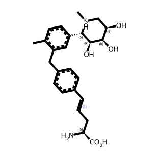 Cc1ccc([C@H]2[C@H](O)[C@H](O)[C@H](O)C[SH]2C)cc1Cc1ccc(/C=C/C[C@H](N)C(=O)O)cc1